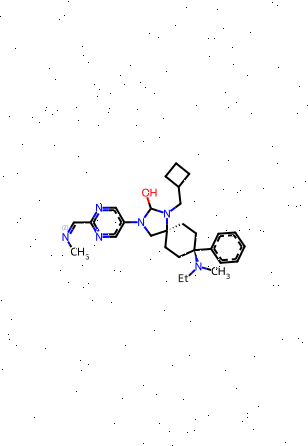 CCN(C)[C@]1(c2ccccc2)CC[C@]2(CC1)CN(c1cnc(/C=N\C)nc1)C(O)N2CC1CCC1